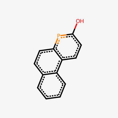 Oc1ccc2c(ccc3ccccc32)p1